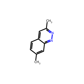 Cc1ccc2cc(C)nnc2c1